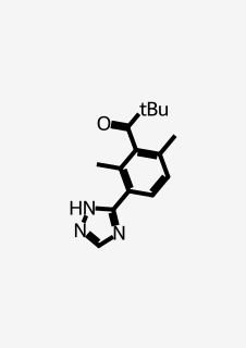 Cc1ccc(-c2ncn[nH]2)c(C)c1C(=O)C(C)(C)C